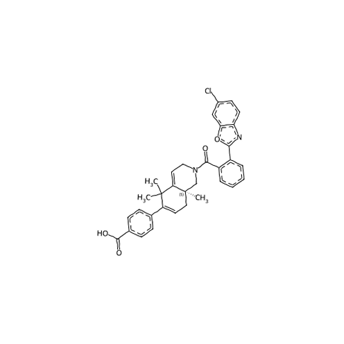 CC1(C)C(c2ccc(C(=O)O)cc2)=CC[C@]2(C)CN(C(=O)c3ccccc3-c3nc4ccc(Cl)cc4o3)CC=C12